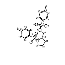 Cc1ccc(S(=O)(=O)OC[C@H]2CCCN2S(=O)(=O)c2ccc(C)cc2)cc1